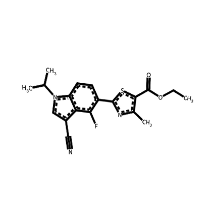 CCOC(=O)c1sc(-c2ccc3c(c(C#N)cn3C(C)C)c2F)nc1C